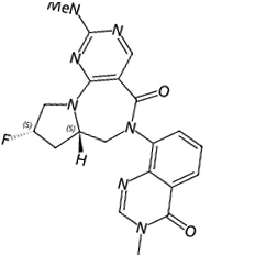 CNc1ncc2c(n1)N1C[C@@H](F)C[C@H]1CN(c1cccc3c(=O)n(C)cnc13)C2=O